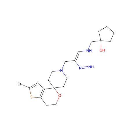 CCc1cc2c(s1)CCOC21CCN(C/C(=C/NCC2(O)CCCC2)N=N)CC1